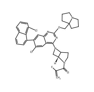 C=C(F)C(=O)N1CCC2[C@H]1CN2c1nc(OCC23CCCN2CCC3)nc2cc(-c3cccc4cccc(Cl)c34)c(Cl)cc12